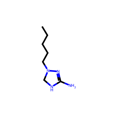 CCCCCN1CNC(N)=N1